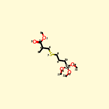 COC(=O)C(C)CSCCC[Si](OC)(OC)OC